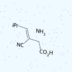 CC(C)/C=C(\C#N)CC(=O)O.N